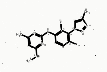 CNc1cc(C)nc(Nc2ccc(F)c(-n3cc(C)nn3)c2F)n1